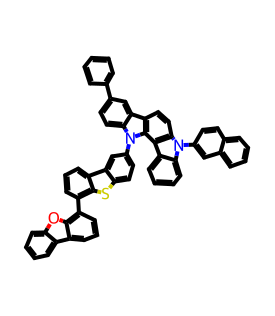 c1ccc(-c2ccc3c(c2)c2ccc4c(c5ccccc5n4-c4ccc5ccccc5c4)c2n3-c2ccc3sc4c(-c5cccc6c5oc5ccccc56)cccc4c3c2)cc1